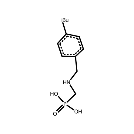 CCC(C)c1ccc(CNCP(=O)(O)O)cc1